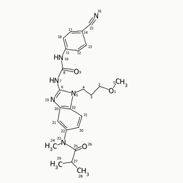 COCCCn1c(NC(=O)Nc2ccc(C#N)cc2)nc2cc(N(C)C(=O)C(C)C)ccc21